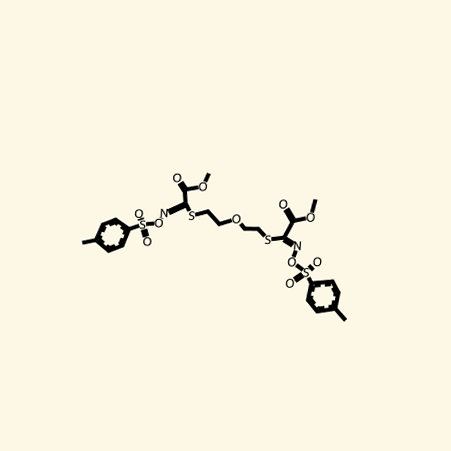 COC(=O)/C(=N/OS(=O)(=O)c1ccc(C)cc1)SCCOCCS/C(=N\OS(=O)(=O)c1ccc(C)cc1)C(=O)OC